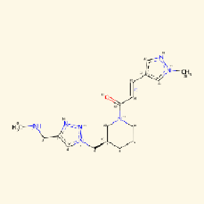 CNCc1cn(C[C@@H]2CCCN(C(=O)/C=C/c3cnn(C)c3)C2)nn1